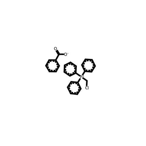 ClC[P+](c1ccccc1)(c1ccccc1)c1ccccc1.O=C([O-])c1ccccc1